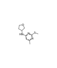 CSc1nc(C)cc(NC2CCOC2)n1